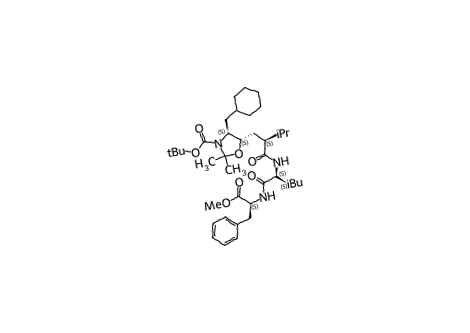 CC[C@H](C)[C@H](NC(=O)[C@@H](C[C@@H]1OC(C)(C)N(C(=O)OC(C)(C)C)[C@H]1CC1CCCCC1)C(C)C)C(=O)N[C@@H](Cc1ccccc1)C(=O)OC